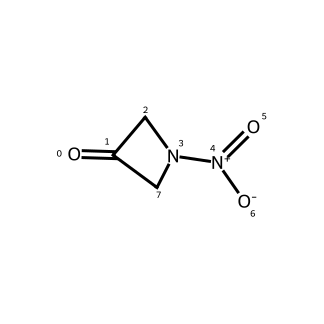 O=C1CN([N+](=O)[O-])C1